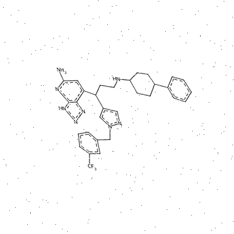 Nc1cc(C(CCNC2CCC(c3ccccc3)CC2)c2cnn(Cc3cccc(C(F)(F)F)c3)c2)c2nn[nH]c2n1